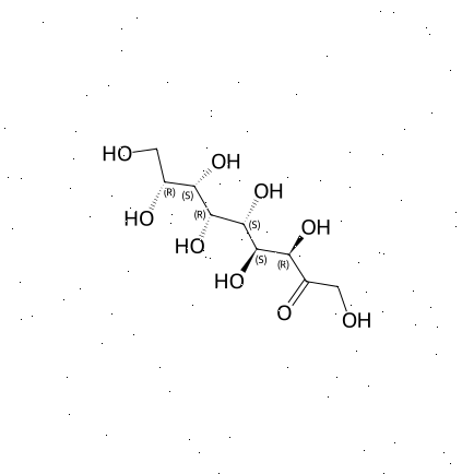 O=C(CO)[C@H](O)[C@@H](O)[C@@H](O)[C@H](O)[C@@H](O)[C@H](O)CO